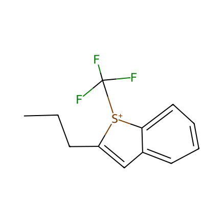 CCCc1cc2ccccc2[s+]1C(F)(F)F